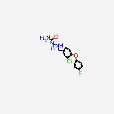 NC(=O)NNCc1ccc(Oc2ccc(F)cc2)c(Cl)c1